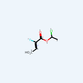 CC(Cl)OC(=O)/C(F)=C/C(=O)O